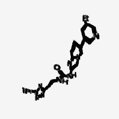 CCc1cncc(-c2ccc3nc(NC(=O)NCCc4nnn(C(C)C)n4)cn3c2)c1